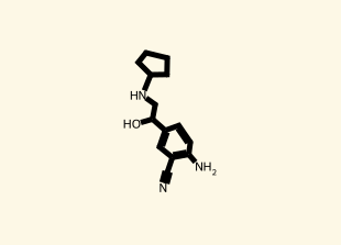 N#Cc1cc(C(O)CNC2CCCC2)ccc1N